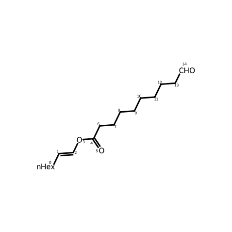 CCCCCCC=COC(=O)CCCCCCCCC=O